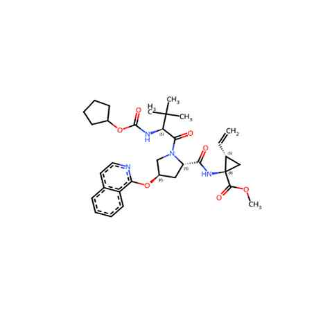 C=C[C@@H]1C[C@]1(NC(=O)[C@@H]1C[C@@H](Oc2nccc3ccccc23)CN1C(=O)[C@@H](NC(=O)OC1CCCC1)C(C)(C)C)C(=O)OC